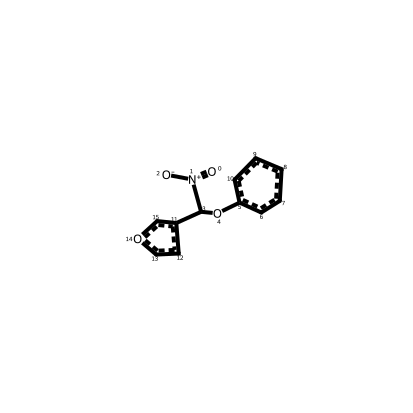 O=[N+]([O-])C(Oc1ccccc1)c1ccoc1